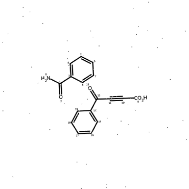 NC(=O)c1ccccc1.O=C(O)C#CC(=O)c1ccccc1